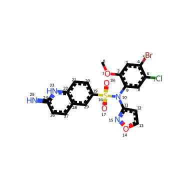 COc1cc(Br)c(Cl)cc1N(c1ccon1)S(=O)(=O)c1ccc2[nH]c(=N)ccc2c1